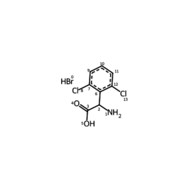 Br.NC(C(=O)O)c1c(Cl)cccc1Cl